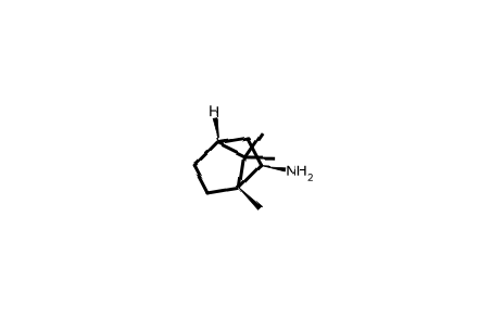 CC1(C)[C@@H]2CC[C@@]1(C)[C@H](N)C2